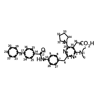 CN(C)c1nc(Cc2ccc(NC(=O)c3ccc(-c4ccccc4)cc3)cc2)nc(N2CCCC2)c1CC(=O)O